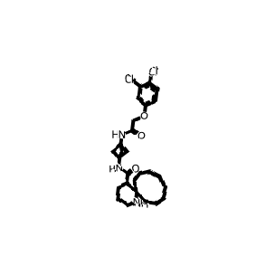 O=C(COc1ccc(Cl)c(Cl)c1)NC12CC(NC(=O)C3CCCNC34CCCCCCCC4)(C1)C2